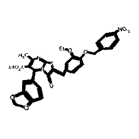 CCOC(=O)C1=C(C)N=c2s/c(=C\c3ccc(OCc4ccc([N+](=O)[O-])cc4)c(OCC)c3)c(=O)n2C1c1ccc2c(c1)OCO2